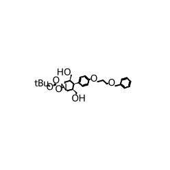 CC(C)(C)OC(=O)ON1C[C@@H](CO)[C@@H](c2ccc(OCCCOCc3ccccc3)cc2)[C@@H](CO)C1